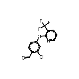 O=Cc1ccc(Oc2ncccc2C(F)(F)F)cc1Cl